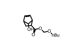 CCCCOCOC(=O)C1CC2C=CC1C2O